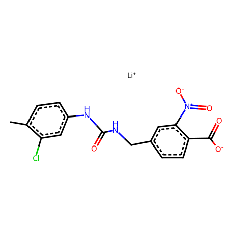 Cc1ccc(NC(=O)NCc2ccc(C(=O)[O-])c([N+](=O)[O-])c2)cc1Cl.[Li+]